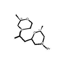 CC(C)N1CC(CC(C)N2CCO[C@H](C)C2)O[C@@H](C)C1